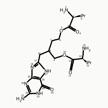 CC(C)[C@H](N)C(=O)OCCC(COC(=O)[C@@H](N)C(C)C)Cc1nc2nc(N)[nH]c(=O)c2[nH]1